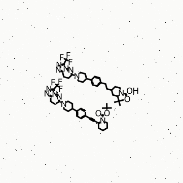 CC(C)(C)C1CC(CCc2ccc(C3CCN(C4=Nn5c(nnc5C(F)(F)F)CC4)CC3)cc2)CCN1C(=O)O.CC(C)(C)OC(=O)N1CCCCC1C#Cc1ccc(C2CCN(C3=Nn4c(nnc4C(F)(F)F)CC3)CC2)cc1